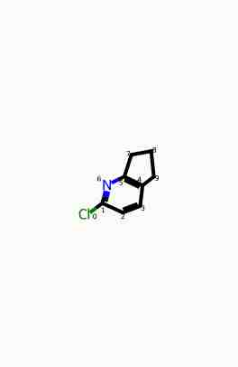 Clc1ccc2c(n1)CCC2